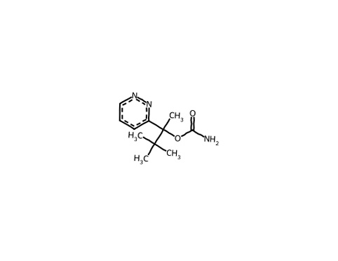 CC(C)(C)C(C)(OC(N)=O)c1cccnn1